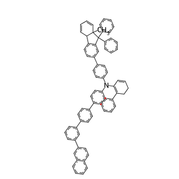 CC12C=CC=CC1c1ccc(-c3ccc(N(C4=C(c5ccccc5)CCC=C4)c4ccc(-c5ccc(-c6cccc(-c7ccc8ccccc8c7)c6)cc5)cc4)cc3)cc1C2(c1ccccc1)c1ccccc1